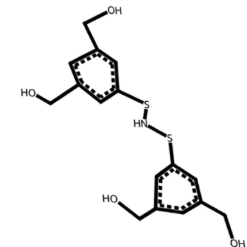 OCc1cc(CO)cc(SNSc2cc(CO)cc(CO)c2)c1